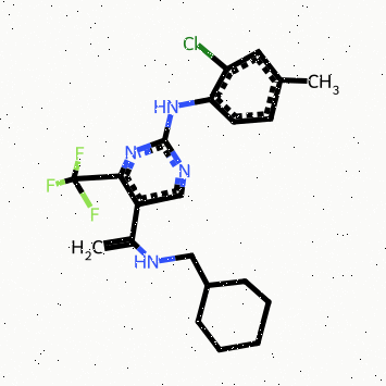 C=C(NCC1CCCCC1)c1cnc(Nc2ccc(C)cc2Cl)nc1C(F)(F)F